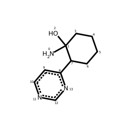 NC1(O)CCCCC1c1ccncn1